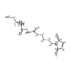 CC(=O)CCNC(=O)CNC(=O)CCCCCN1C(=O)C=CC1=O